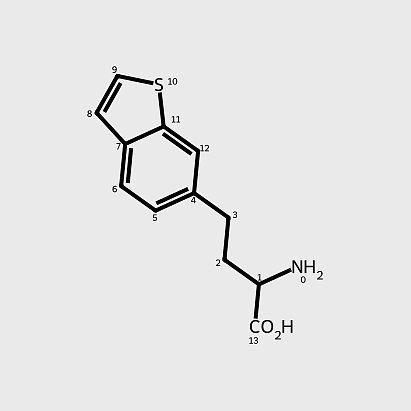 NC(CCc1ccc2ccsc2c1)C(=O)O